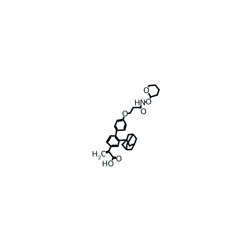 C=C(C(=O)O)c1ccc(-c2ccc(OCCC(=O)NOC3CCCCO3)cc2)c(C23CC4CC(CC(C4)C2)C3)c1